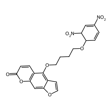 O=c1ccc2c(OCCCCOC3C=CC([N+](=O)[O-])=CC3[N+](=O)[O-])c3ccoc3cc2o1